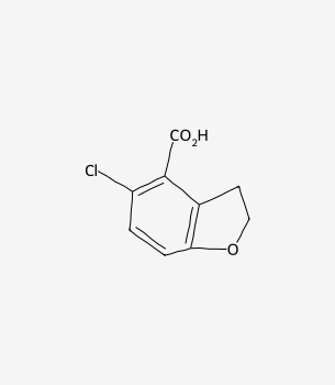 O=C(O)c1c(Cl)ccc2c1CCO2